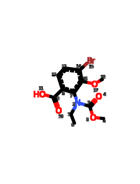 CCN(C(=O)OC)c1c(C(=O)O)ccc(Br)c1OC